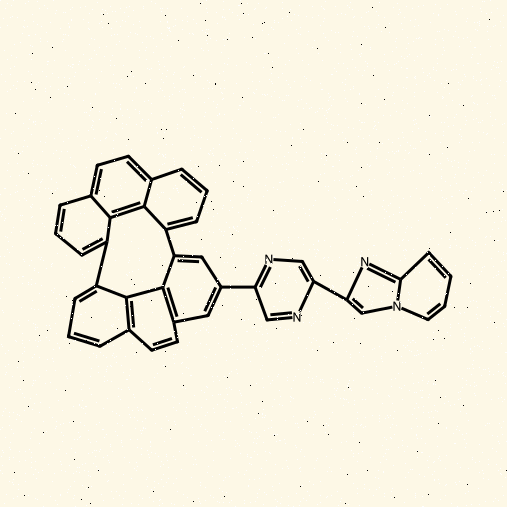 c1cc2ccc3cccc4c5cc(-c6cnc(-c7cn8ccccc8n7)cn6)cc6ccc7cccc(c(c1)c2c34)c7c65